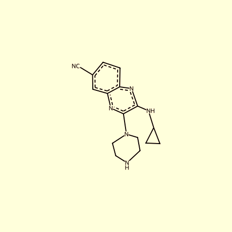 N#Cc1ccc2nc(NC3CC3)c(N3CCNCC3)nc2c1